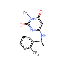 CC(C)n1c(=O)cc(N[C@@H](C)c2ccccc2C(F)(F)F)[nH]c1=O